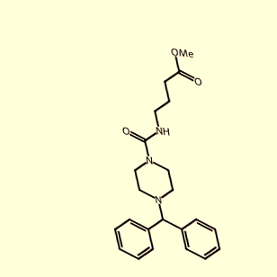 COC(=O)CCCNC(=O)N1CCN(C(c2ccccc2)c2ccccc2)CC1